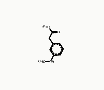 COC(=O)Cc1cccc(NC=O)c1